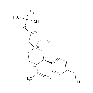 C=C(C)[C@@H]1CC[C@@](CO)(CC(=O)OC(C)(C)C)C[C@H]1c1ccc(CO)cc1